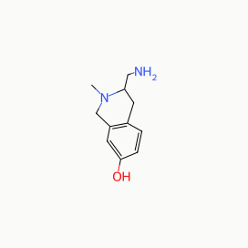 CN1Cc2cc(O)ccc2CC1CN